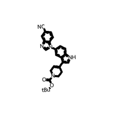 CC(C)(C)OC(=O)N1CC=C(c2c[nH]c3ccc(-n4cnc5cc(C#N)ccc54)cc23)CC1